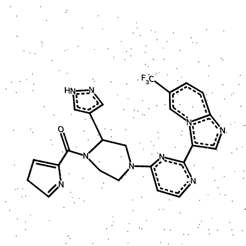 O=C(C1=CCC=N1)N1CCN(c2ccnc(-c3cnc4ccc(C(F)(F)F)cn34)n2)CC1c1cn[nH]c1